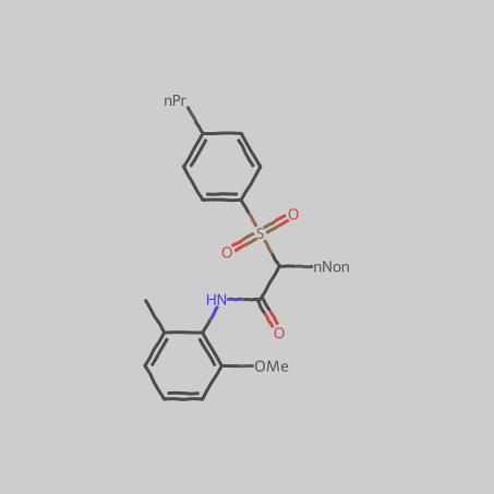 CCCCCCCCCC(C(=O)Nc1c(C)cccc1OC)S(=O)(=O)c1ccc(CCC)cc1